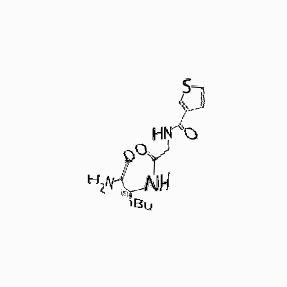 CCC(C)[C@H](NC(=O)CNC(=O)c1ccsc1)C(N)=O